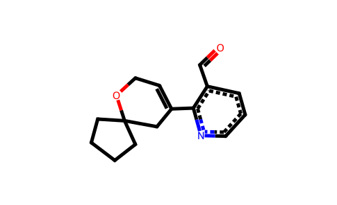 O=Cc1cccnc1C1=CCOC2(CCCC2)C1